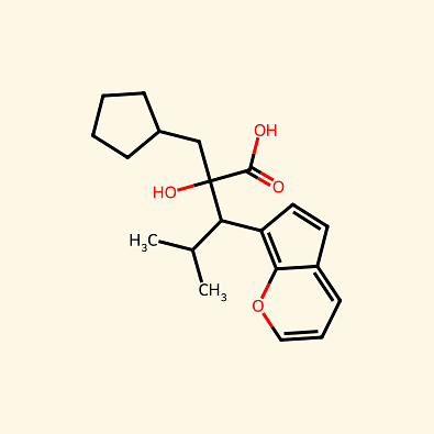 CC(C)C(c1ccc2cccoc1-2)C(O)(CC1CCCC1)C(=O)O